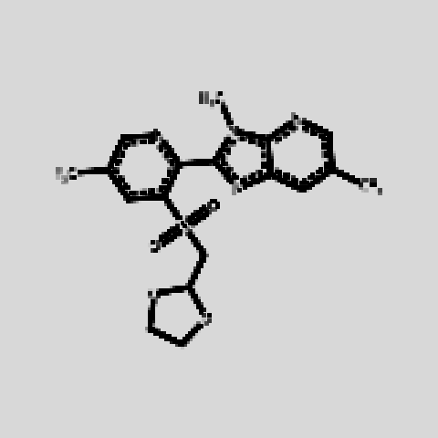 Cn1c(-c2ncc(C(F)(F)F)cc2S(=O)(=O)CC2OCCO2)nc2cc(C(F)(F)F)cnc21